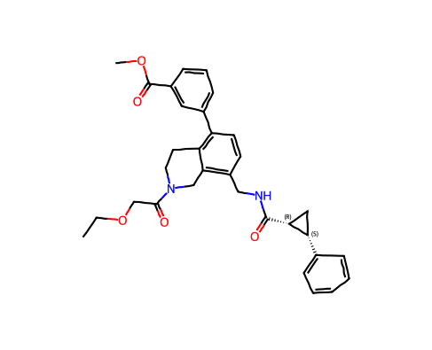 CCOCC(=O)N1CCc2c(-c3cccc(C(=O)OC)c3)ccc(CNC(=O)[C@@H]3C[C@@H]3c3ccccc3)c2C1